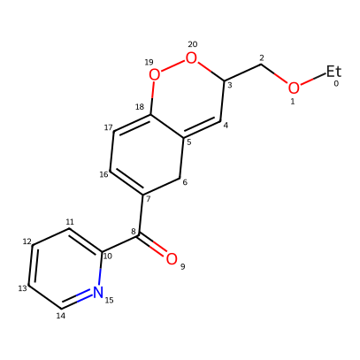 CCOCC1C=C2CC(C(=O)c3ccccn3)=CC=C2OO1